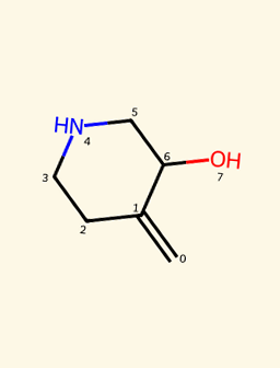 C=C1CCNCC1O